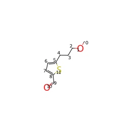 COCCCc1ccc(C=O)s1